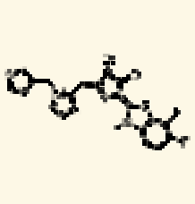 CCn1c(=O)/c(=C2\Sc3c(ccc(F)c3F)N2C)s/c1=C\c1scc[n+]1Cc1ccsc1